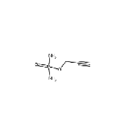 C#CCOP(N)(N)=O